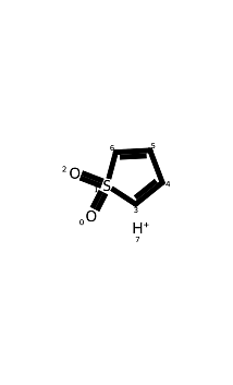 O=S1(=O)C=CC=C1.[H+]